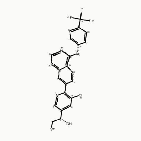 OC[C@@H](O)c1cnc(-c2ccc3c(Nc4ccc(C(F)(F)F)cc4)ncnc3c2)c(Cl)c1